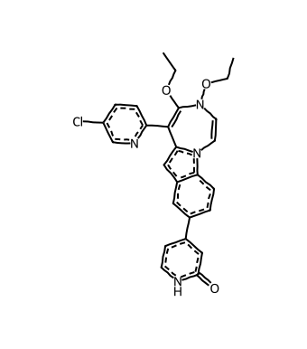 CCOC1=C(c2ccc(Cl)cn2)c2cc3cc(-c4cc[nH]c(=O)c4)ccc3n2C=CN1OCC